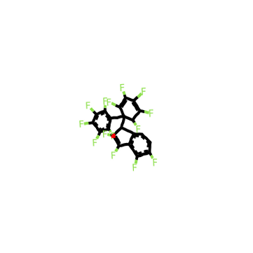 FC1=C(F)C(F)C(c2c(F)c(F)c(F)c(F)c2F)(C2C(F)=C(F)c3c2ccc(F)c3F)C(F)=C1F